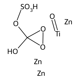 O=S(=O)(O)OC1(O)OO1.[O]=[Ti].[Zn].[Zn].[Zn]